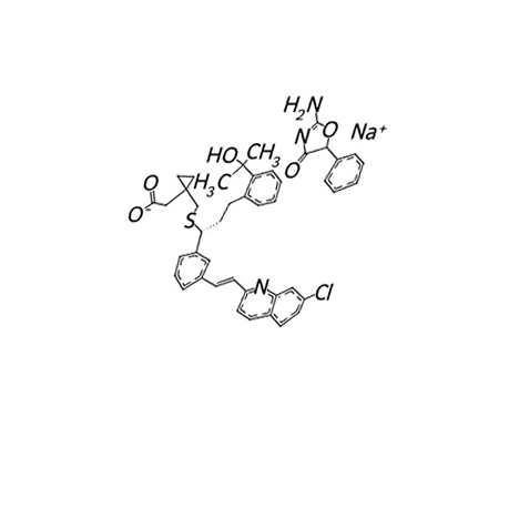 CC(C)(O)c1ccccc1CC[C@@H](SCC1(CC(=O)[O-])CC1)c1cccc(/C=C/c2ccc3ccc(Cl)cc3n2)c1.NC1=NC(=O)C(c2ccccc2)O1.[Na+]